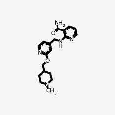 CN1CCC(COc2cc(CNc3ncccc3C(N)=O)ccn2)CC1